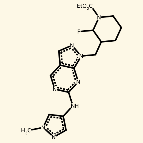 CCOC(=O)N1CCCC(Cn2ncc3cnc(Nc4cnn(C)c4)nc32)C1F